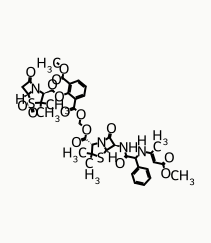 COC(=O)C=C(C)NC(C(=O)N[C@@H]1C(=O)N2[C@@H]1SC(C)(C)[C@@H]2C(=O)OCOC(=O)c1cccc(C(=O)OC)c1OC(=O)[C@@H]1N2C(=O)C[C@H]2S(=O)(=O)C1(C)C)c1ccccc1